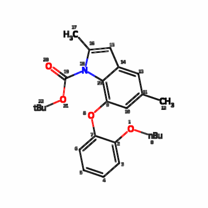 CCCCOc1ccccc1Oc1cc(C)cc2cc(C)n(C(=O)OC(C)(C)C)c12